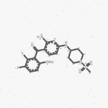 COc1ccc(F)c(F)c1C(=O)c1ccc(NC2CCN(S(C)(=O)=O)CC2)nc1N